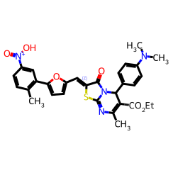 CCOC(=O)C1=C(C)N=c2s/c(=C\c3ccc(-c4cc([N+](=O)O)ccc4C)o3)c(=O)n2C1c1ccc(N(C)C)cc1